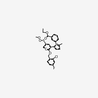 CCOC(=O)c1cccc(-n2c(C)ccc2-c2cc(SOOC)ccc2OCc2ccc(F)cc2Cl)c1